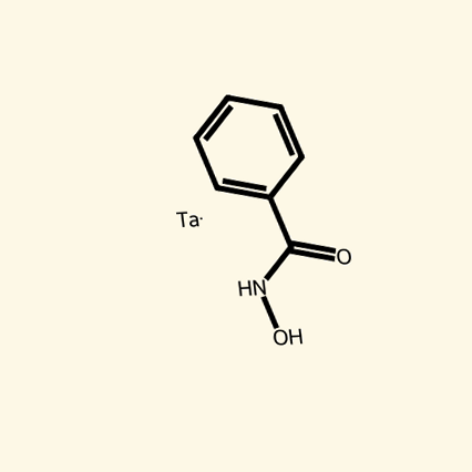 O=C(NO)c1ccccc1.[Ta]